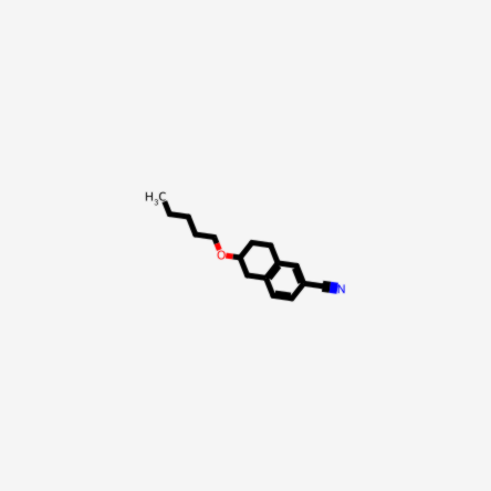 CCCCCOC1CCc2cc(C#N)ccc2C1